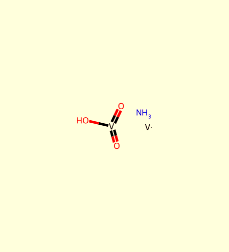 N.[O]=[V](=[O])[OH].[V]